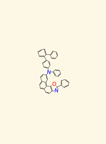 c1ccc(-c2nc3ccc4ccc5ccc(N(c6ccccc6)c6ccc(-c7ccccc7-c7ccccc7)cc6)cc5c4c3o2)cc1